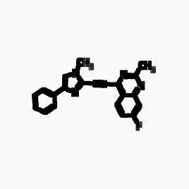 Cc1nc(C#Cc2nc(-c3ccccc3)cn2C)c2ccc(F)cc2n1